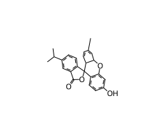 CC1=CC2Oc3cc(O)ccc3C3(OC(=O)c4cc(C(C)C)ccc43)C2C=C1